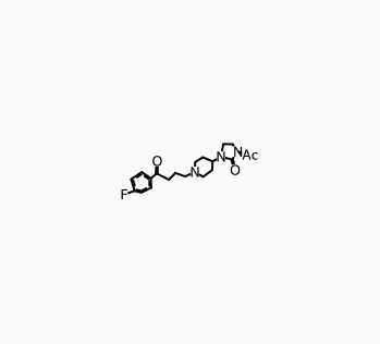 CC(=O)N1CCN(C2CCN(CCCC(=O)c3ccc(F)cc3)CC2)C1=O